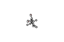 c1ccc(-c2ccc(N3B4c5c(cc(-c6ccccc6)cc5-n5c6ccc(C78CC9CC(CC(C9)C7)C8)cc6c6cc(C78CC9CC(CC(C9)C7)C8)cc4c65)-c4cc5c(cc43)oc3cc4ccccc4cc35)cc2)cc1